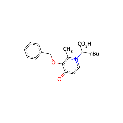 CCCCC(C(=O)O)n1ccc(=O)c(OCc2ccccc2)c1C